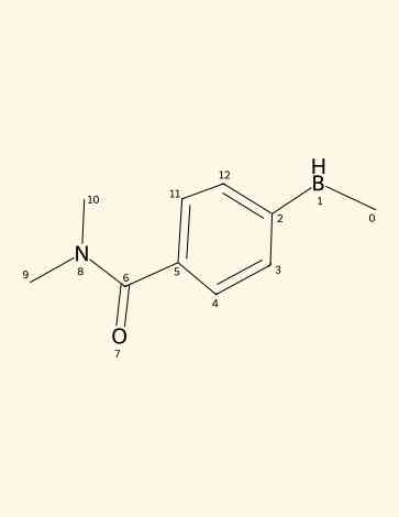 CBc1ccc(C(=O)N(C)C)cc1